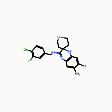 Cc1cc2c(cc1C)NC1(CCNCC1)C(NCc1ccc(Cl)c(Cl)c1)=N2